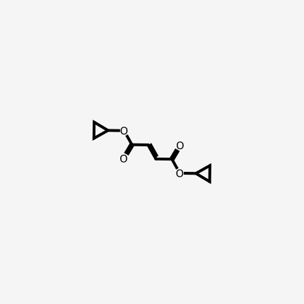 O=C(C=CC(=O)OC1CC1)OC1CC1